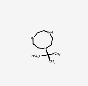 [CH2]C(C)(C(=O)O)N1CCNCCNCC1